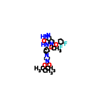 COc1cc(N2CCN(C(=O)OC(C)(C)C)CC2)ccc1Nc1nc(Oc2cccc(F)c2F)cc2cn[nH]c(=O)c12